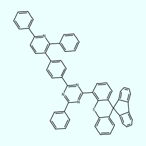 c1ccc(-c2ccc(-c3ccc(-c4nc(-c5ccccc5)nc(-c5cccc6c5Sc5ccccc5C65c6ccccc6-c6ccccc65)n4)cc3)c(-c3ccccc3)n2)cc1